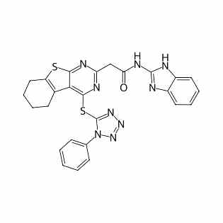 O=C(Cc1nc(Sc2nnnn2-c2ccccc2)c2c3c(sc2n1)CCCC3)Nc1nc2ccccc2[nH]1